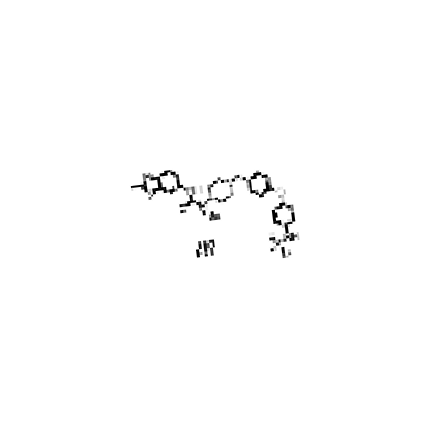 CCCCN(C(=O)Nc1ccc2nc(C)sc2c1)C1CCN(Cc2ccc(Oc3ccc(NS(C)(=O)=O)cc3)cc2)CC1.Cl.Cl